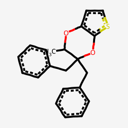 CC1Oc2ccsc2OC1(Cc1ccccc1)Cc1ccccc1